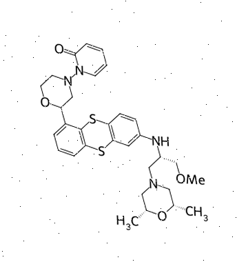 COC[C@H](CN1C[C@@H](C)O[C@@H](C)C1)Nc1ccc2c(c1)Sc1cccc(C3CN(n4ccccc4=O)CCO3)c1S2